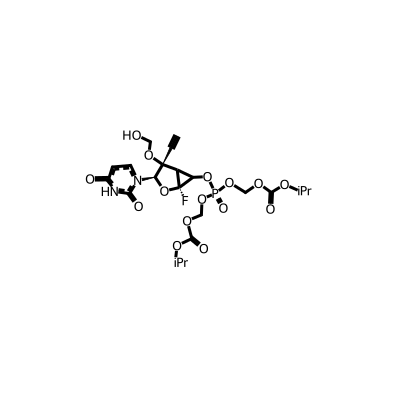 C#C[C@@]1(OCO)C2C(OP(=O)(OCOC(=O)OC(C)C)OCOC(=O)OC(C)C)[C@@]2(F)O[C@H]1n1ccc(=O)[nH]c1=O